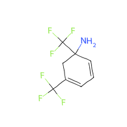 NC1(C(F)(F)F)C=CC=C(C(F)(F)F)C1